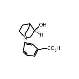 O=C(O)c1ccccc1.O[C@H]1CN2CCC1CC2